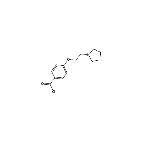 O=C(Cl)c1ccc(OCCN2CCCC2)cc1